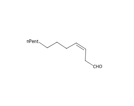 CCCCCCCC/C=C\CC=O